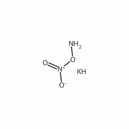 NO[N+](=O)[O-].[KH]